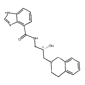 O=C(NC[C@H](O)CN1CCc2ccccc2C1)c1cccc2[nH]cnc12